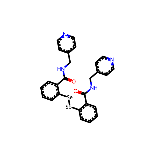 O=C(NCc1ccncc1)c1ccccc1[Se][Se]c1ccccc1C(=O)NCc1ccncc1